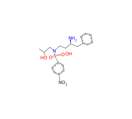 CC(O)CN(C[C@@H](O)[C@@H](N)Cc1ccccc1)S(=O)(=O)c1ccc([N+](=O)[O-])cc1